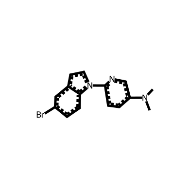 CN(C)c1ccc(-n2ccc3cc(Br)ccc32)nc1